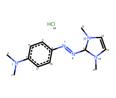 CN(C)c1ccc(N=NC2N(C)C=CN2C)cc1.Cl